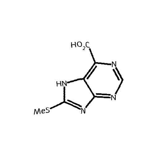 CSc1nc2ncnc(C(=O)O)c2[nH]1